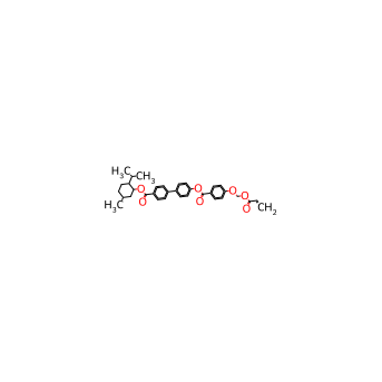 C=CC(=O)OCOc1ccc(C(=O)Oc2ccc(-c3ccc(C(=O)OC4CC(C)CCC4C(C)C)cc3)cc2)cc1